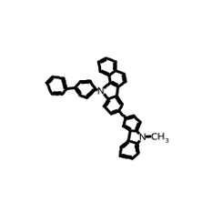 Cn1c2ccccc2c2cc(-c3ccc4c(c3)c3ccc5ccccc5c3n4-c3ccc(-c4ccccc4)cc3)ccc21